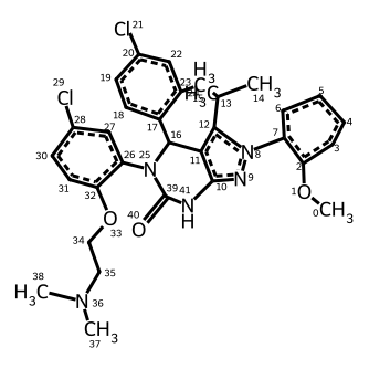 COc1ccccc1-n1nc2c(c1C(C)C)C(c1ccc(Cl)cc1C)N(c1cc(Cl)ccc1OCCN(C)C)C(=O)N2